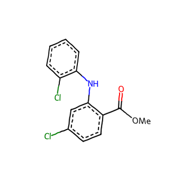 COC(=O)c1ccc(Cl)cc1Nc1ccccc1Cl